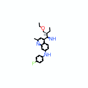 CCOC[C@@H](CC)C(=N)c1cc(C)nc2cc(Nc3ccc(F)cc3)ccc12